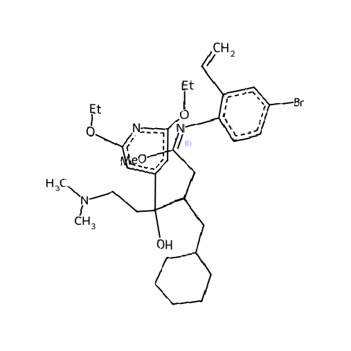 C=Cc1cc(Br)ccc1/N=C(\CC(CC1CCCCC1)C(O)(CCN(C)C)c1cc(OCC)nc(OCC)c1)OC